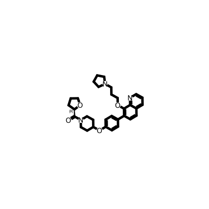 O=C([C@H]1CCCO1)N1CCC(Oc2ccc(-c3ccc4cccnc4c3OCCCN3CCCC3)cc2)CC1